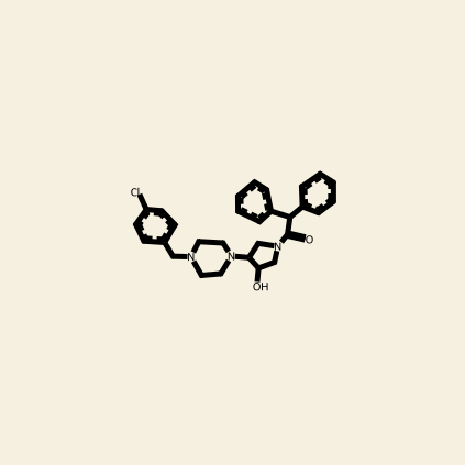 O=C(C(c1ccccc1)c1ccccc1)N1CC(O)C(N2CCN(Cc3ccc(Cl)cc3)CC2)C1